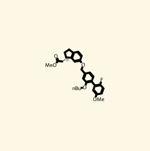 CCCCOc1cc(COc2ccc3c(c2)[C@H](CC(=O)OC)CC3)ccc1-c1cc(OC)ccc1F